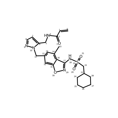 C=CC(=O)NCc1ccnn1Cc1cc(C)c2c(NS(=O)(=O)CC3CCCCC3)noc2c1